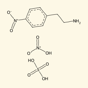 NCCc1ccc([N+](=O)[O-])cc1.O=S(=O)(O)O.O=[N+]([O-])O